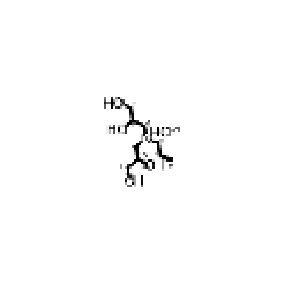 C=CCN(CC(O)CO)CC(O)CO.Cl